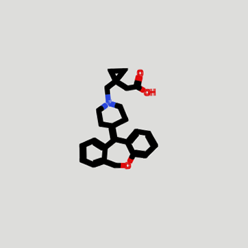 O=C(O)CC1(CN2CCC(=C3c4ccccc4COc4ccccc43)CC2)CC1